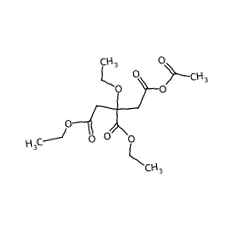 CCOC(=O)CC(CC(=O)OC(C)=O)(OCC)C(=O)OCC